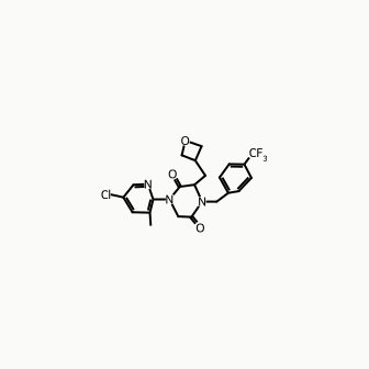 Cc1cc(Cl)cnc1N1CC(=O)N(Cc2ccc(C(F)(F)F)cc2)C(CC2COC2)C1=O